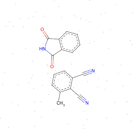 Cc1cccc(C#N)c1C#N.O=C1NC(=O)c2ccccc21